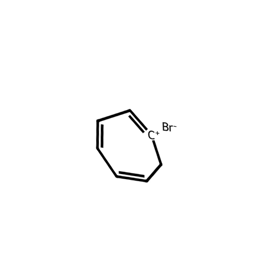 [Br-].[C+]1=CC=CC=CC1